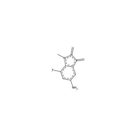 C=c1c(=C)n(C)c2c(F)cc(N)cc12